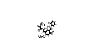 COc1cc2ncnc(Nc3cccc(Cl)c3F)c2cc1CNC(=O)[C@@H](C)NC(C)C